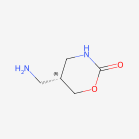 NC[C@@H]1CNC(=O)OC1